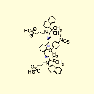 CC1(C)C(/C=C/C2=C(Oc3ccc(N=C=S)cc3)C(=C/C=C/C3N(CCCS(=O)(=O)O)c4ccc5ccccc5c4C3(C)C)/CCC2)=[N+](CCCS(=O)(=O)O)c2ccc3ccccc3c21